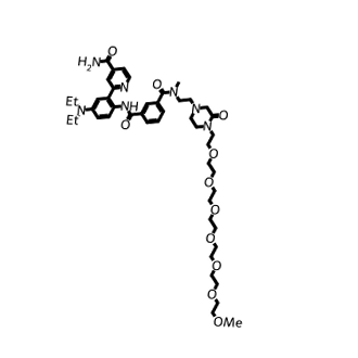 CCN(CC)c1ccc(NC(=O)c2cccc(C(=O)N(C)CCN3CCN(CCOCCOCCOCCOCCOCCOCCOC)C(=O)C3)c2)c(-c2cc(C(N)=O)ccn2)c1